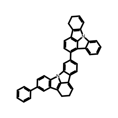 C1=Cc2c(c3ccc(-c4ccc5c6c7c(c8cc(-c9ccccc9)ccc8n7c5c4)CCC=6)c4c5ccccc5n2c34)CC1